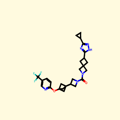 O=C(N1CC(C23CC(Oc4ccc(C(F)(F)F)cn4)(C2)C3)C1)N1CC2(CC(c3nc(C4CC4)n[nH]3)C2)C1